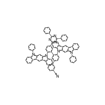 N#Cc1cccc(-c2ccc(-n3c4ccccc4c4cc5c6ccccc6n(-c6ccccc6)c5cc43)c(-c3cc(-c4nc(-c5ccccc5)nc(-c5ccccc5)n4)ccc3-n3c4ccccc4c4cc5c6ccccc6n(-c6ccccc6)c5cc43)c2)c1